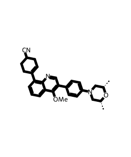 COc1c(-c2ccc(N3C[C@@H](C)O[C@@H](C)C3)cc2)cnc2c(C3=CCC(C#N)CC3)cccc12